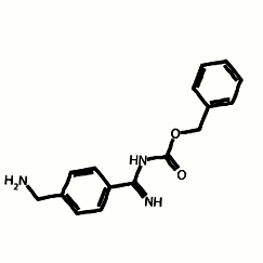 N=C(NC(=O)OCc1ccccc1)c1ccc(CN)cc1